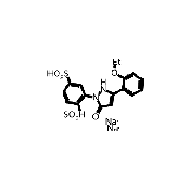 CCOc1ccccc1-c1cc(=O)n(-c2cc(S(=O)(=O)O)ccc2S(=O)(=O)O)[nH]1.[Na].[Na]